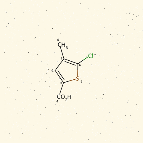 Cc1cc(C(=O)O)sc1Cl